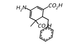 CC1(C(=O)O)C=C(N)C=C(C(=O)O)C1Cc1ccccc1